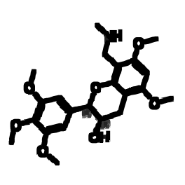 CNCc1c(OC)cc(OC)c2c1O[C@H](c1cc(OC)c(OC)c(OC)c1)[C@H](O)C2